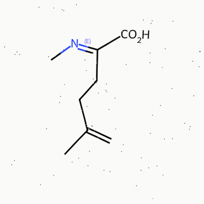 C=C(C)CC/C(=N\C)C(=O)O